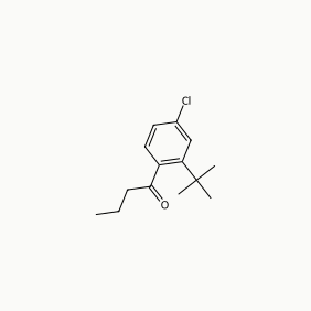 CCCC(=O)c1ccc(Cl)cc1C(C)(C)C